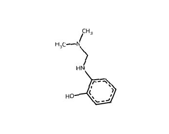 CN(C)CNc1ccccc1O